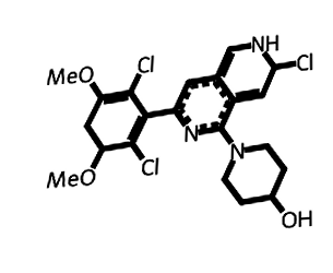 COC1=C(Cl)C(c2cc3c(c(N4CCC(O)CC4)n2)=CC(Cl)NC=3)=C(Cl)C(OC)C1